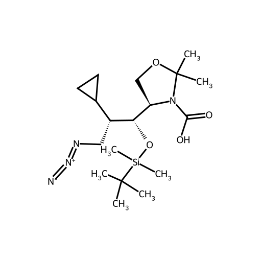 CC1(C)OC[C@H]([C@H](O[Si](C)(C)C(C)(C)C)[C@H](CN=[N+]=[N-])C2CC2)N1C(=O)O